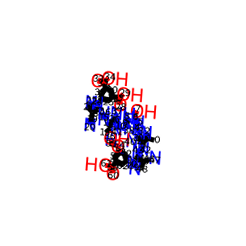 Cc1nn(-c2nc(O)nc(-n3nc(C)c(N=Nc4c(C#N)cnn4-c4cc(C(=O)O)cc(C(=O)O)c4)c3N)n2)c(N)c1N=Nc1c(C#N)cnn1-c1cc(OCO)cc(C(=O)O)c1